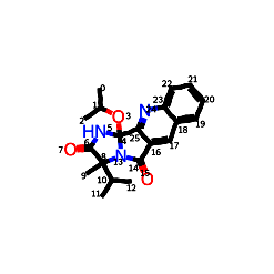 CC(C)OC12NC(=O)C(C)(C(C)C)N1C(=O)c1cc3ccccc3nc12